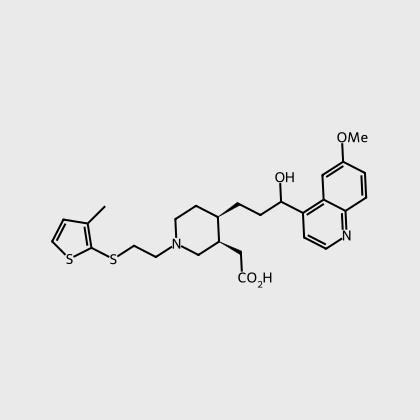 COc1ccc2nccc(C(O)CC[C@@H]3CCN(CCSc4sccc4C)C[C@@H]3CC(=O)O)c2c1